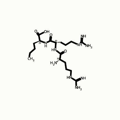 CCCC[C@H](NC(=O)[C@H](CCCNC(=N)N)NC(=O)[C@@H](N)CCCNC(=N)N)C(=O)O